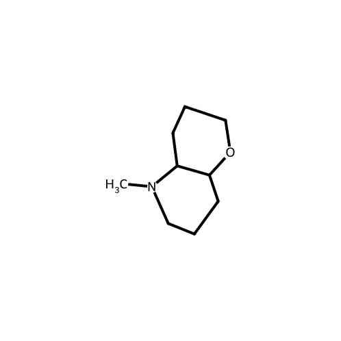 CN1CCCC2OCCCC21